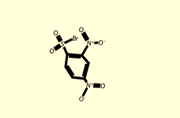 O=[N+]([O-])c1ccc(S(=O)(=O)Br)c([N+](=O)[O-])c1